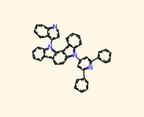 c1ccc(-c2cc(-n3c4ccccc4c4c3ccc3c5ccccc5n(-c5ccnc6ccccc56)c34)cc(-c3ccccc3)n2)cc1